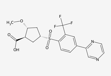 CO[C@@H]1C[C@H](S(=O)(=O)c2ccc(-c3cnccn3)cc2C(F)(F)F)C[C@H]1C(=O)O